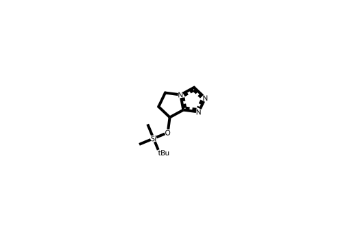 CC(C)(C)[Si](C)(C)OC1CCn2cnnc21